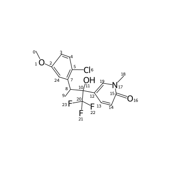 COc1ccc(Cl)c(C(C)C(O)(c2ccc(=O)n(C)c2)C(F)(F)F)c1